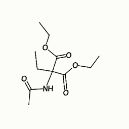 CCOC(=O)C(CC)(NC(C)=O)C(=O)OCC